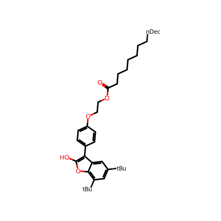 CCCCCCCCCCCCCCCCCC(=O)OCCOc1ccc(-c2c(O)oc3c(C(C)(C)C)cc(C(C)(C)C)cc23)cc1